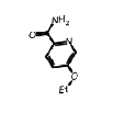 CCOc1ccc(C(N)=O)nc1